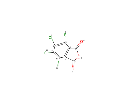 O=C1OC(=O)c2c(F)c(Cl)c(Cl)c(F)c21